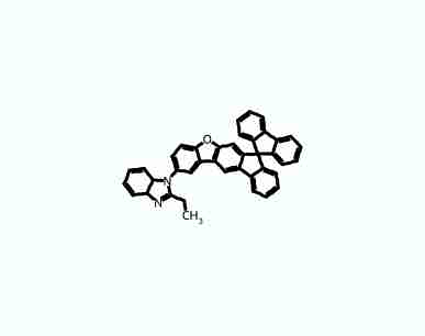 CCC1=NC2C=CC=CC2N1c1ccc2oc3cc4c(cc3c2c1)-c1ccccc1C41c2ccccc2-c2ccccc21